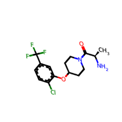 C[C@@H](N)C(=O)N1CCC(Oc2cc(C(F)(F)F)ccc2Cl)CC1